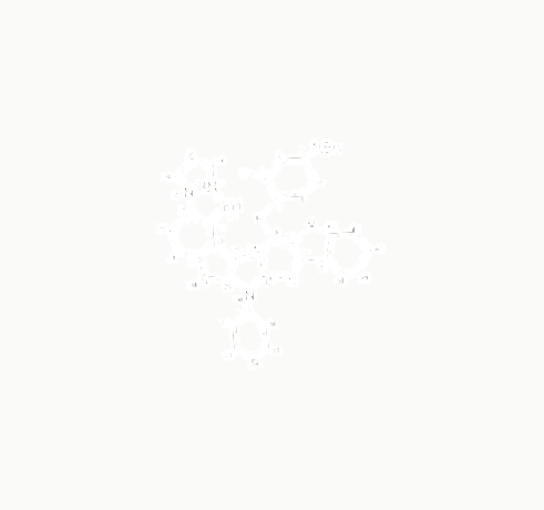 Cc1cc(C(C)(C)C)ccc1Cc1c2c(cc3c1c1c4c(ccc5c4[pH][n+]4cccn54)sc1n3-c1ccccc1)-c1ccccc1C2